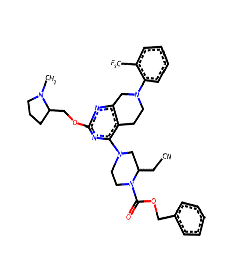 CN1CCCC1COc1nc2c(c(N3CCN(C(=O)OCc4ccccc4)C(CC#N)C3)n1)CCN(c1ccccc1C(F)(F)F)C2